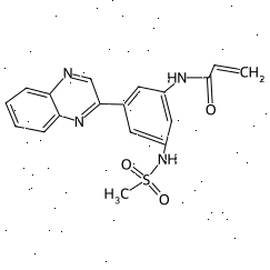 C=CC(=O)Nc1cc(NS(C)(=O)=O)cc(-c2cnc3ccccc3n2)c1